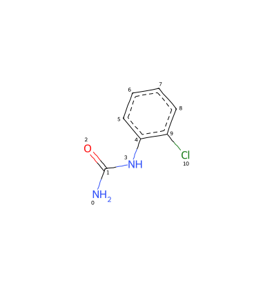 NC(=O)Nc1ccccc1Cl